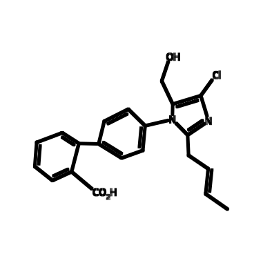 CC=CCc1nc(Cl)c(CO)n1-c1ccc(-c2ccccc2C(=O)O)cc1